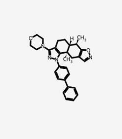 C[C@H]1c2oncc2C[C@@]2(C)c3c(c(N4CCOCC4)nn3-c3ccc(-c4ccccc4)cc3)CC[C@H]12